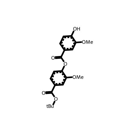 COc1cc(C(=O)Oc2ccc(C(=O)OC(C)(C)C)cc2OC)ccc1O